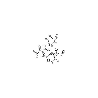 C[C@H]1COc2nc(C(=O)N(C)C)c(Cc3ccc(F)cc3)cc2N1C(=O)CCl